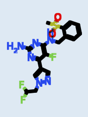 CS(=O)(=O)c1ccccc1CNc1nc(N)nc(-c2cnn(CC(F)F)c2)c1F